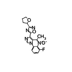 Cc1c2c(-c3nc(C4CCCO4)no3)ncn2c2cccc(F)c2[n+]1[O-]